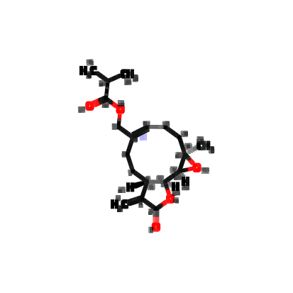 C=C1C(=O)O[C@H]2[C@H]1CC/C(COC(=O)C(C)C)=C\CC[C@@]1(C)O[C@@H]21